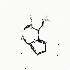 CCC(c1ccccc1Cl)[N+](=O)[O-]